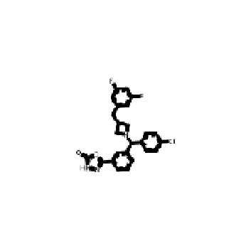 O=c1[nH]nc(-c2cccc(C(c3ccc(Cl)cc3)N3CC(Cc4cc(F)cc(F)c4)C3)c2)o1